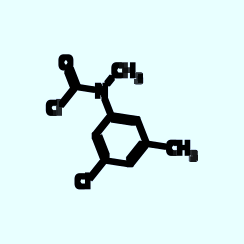 Cc1cc(Cl)cc(N(C)C(=O)Cl)c1